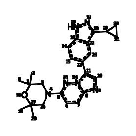 CC1(C)CN(c2ccc3ncc(-c4ccc5[nH]nc(C6CC6)c5c4)n3n2)CC(C)(C)O1